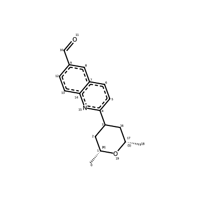 C[C@@H]1CC(c2ccc3cc(C=O)ccc3n2)C[C@H](C)O1